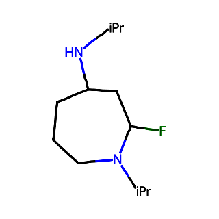 CC(C)NC1CCCN(C(C)C)C(F)C1